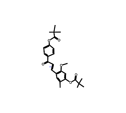 COc1cc(OC(=O)C(C)(C)C)c(C)cc1/C=C/C(=O)c1ccc(OC(=O)C(C)(C)C)cc1